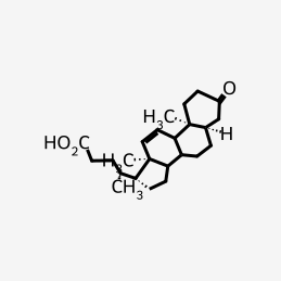 C[C@H](CCC(=O)O)[C@H]1CCC2C3CC[C@@H]4CC(=O)CC[C@]4(C)C3C=C[C@@]21C